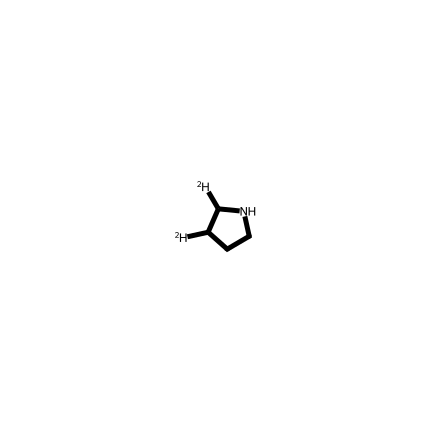 [2H]C1CCNC1[2H]